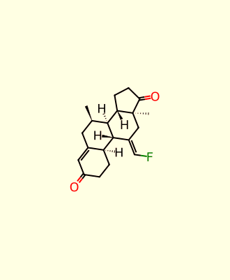 C[C@@H]1CC2=CC(=O)CC[C@@H]2[C@H]2/C(=C/F)C[C@]3(C)C(=O)CC[C@H]3[C@@H]21